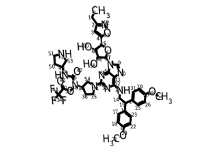 CCc1cc([C@H]2O[C@@H](n3cnc4c(NCC(c5ccc(OC)cc5)c5ccc(OC)cc5)nc(N5CC[C@@H](N(OC(=O)C(F)(F)F)C(=O)NC6CCNC6)C5)nc43)[C@@H](O)[C@@H]2O)on1